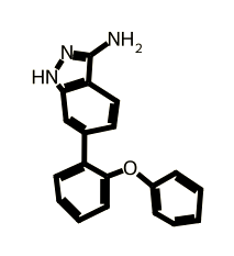 Nc1n[nH]c2cc(-c3ccccc3Oc3ccccc3)ccc12